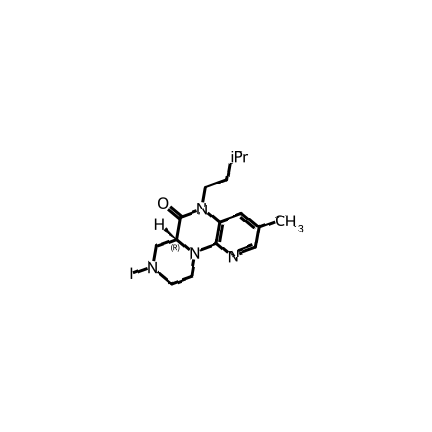 Cc1cnc2c(c1)N(CCC(C)C)C(=O)[C@H]1CN(I)CCN21